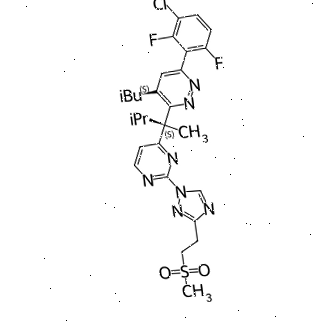 CC[C@H](C)c1cc(-c2c(F)ccc(Cl)c2F)nnc1[C@](C)(c1ccnc(-n2cnc(CCS(C)(=O)=O)n2)n1)C(C)C